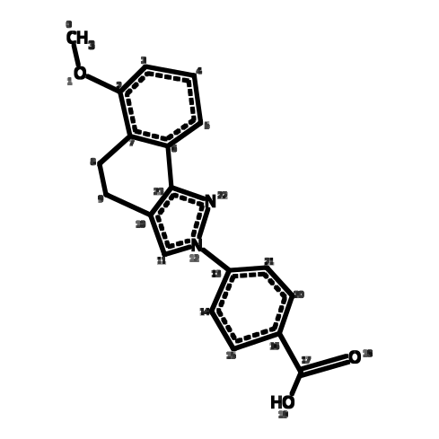 COc1cccc2c1CCc1cn(-c3ccc(C(=O)O)cc3)nc1-2